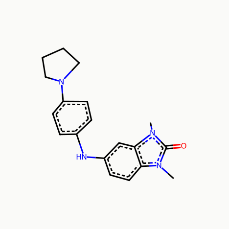 Cn1c(=O)n(C)c2cc(Nc3ccc(N4CCCC4)cc3)ccc21